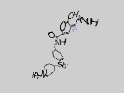 C=c1oc(C(=O)NCc2ccc([S+]([O-])C3CCN(C(C)C)CC3)cc2)c/c1=C/C=N